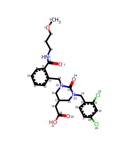 COCCCNC(=O)c1ccccc1CN1CC(CC(=O)O)CN(Cc2ccc(Cl)cc2Cl)C1=O